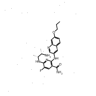 CCCOc1ccc2cc(Nc3nc(N[C@H](C)[C@H](C)N)c(F)cc3C(N)=O)cnc2c1